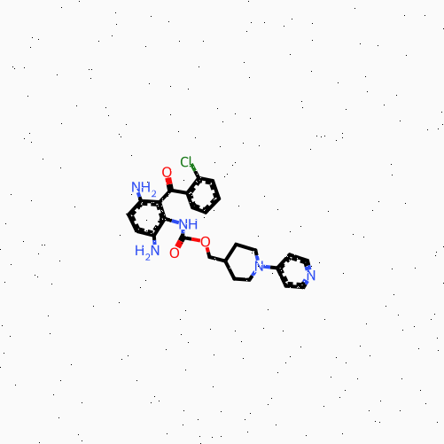 Nc1ccc(N)c(C(=O)c2ccccc2Cl)c1NC(=O)OCC1CCN(c2ccncc2)CC1